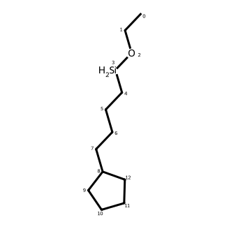 CCO[SiH2]CCCCC1CCCC1